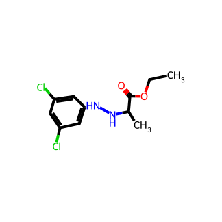 CCOC(=O)C(C)NNc1cc(Cl)cc(Cl)c1